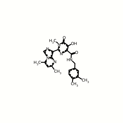 Cc1cc(C)n2cnc(-c3nc(C(=O)NCc4ccc(C)c(C)c4)c(O)c(=O)n3C)c2n1